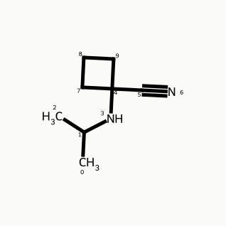 CC(C)NC1(C#N)CCC1